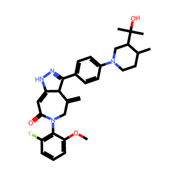 C=C1CN(c2c(F)cccc2OC)C(=O)C=C2NN=C(c3ccc(N4CCC(C)C(C(C)(C)O)C4)cc3)C12